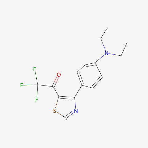 CCN(CC)c1ccc(-c2n[c]sc2C(=O)C(F)(F)F)cc1